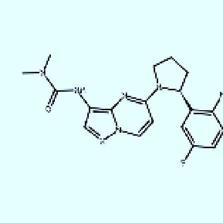 CN(C)C(=O)Nc1cnn2ccc(N3CCC[C@H]3c3cc(F)ccc3F)nc12